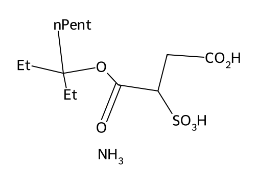 CCCCCC(CC)(CC)OC(=O)C(CC(=O)O)S(=O)(=O)O.N